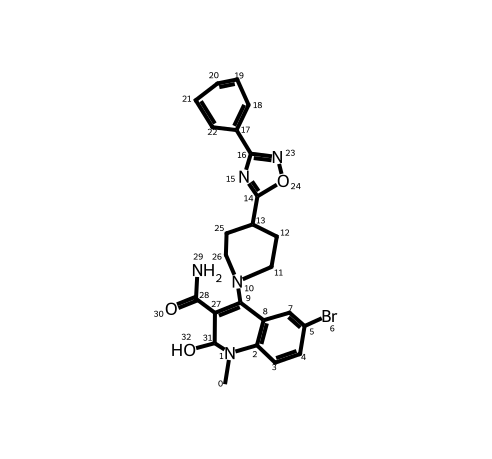 CN1c2ccc(Br)cc2C(N2CCC(c3nc(-c4ccccc4)no3)CC2)=C(C(N)=O)C1O